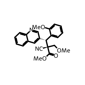 COC[C@](C#N)(C(=O)OC)[C@H](c1cnc2ccccc2c1)c1ccccc1OC